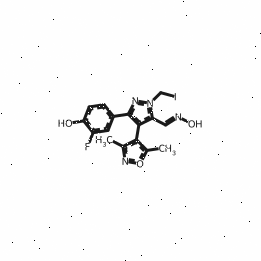 Cc1noc(C)c1-c1c(-c2ccc(O)c(F)c2)nn(CI)c1C=NO